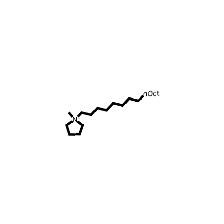 CCCCCCCCCCCCCCCC[N+]1(C)CCCC1